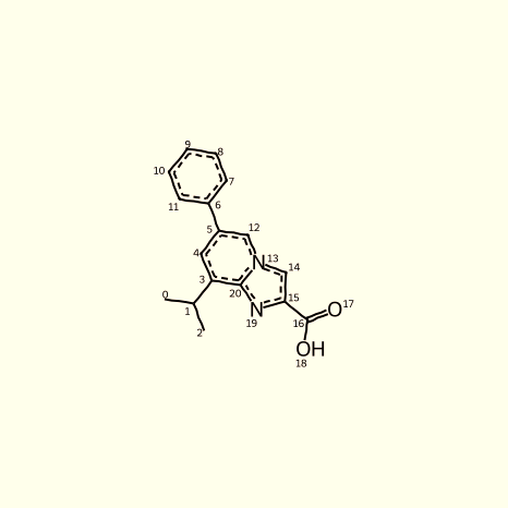 CC(C)c1cc(-c2ccccc2)cn2cc(C(=O)O)nc12